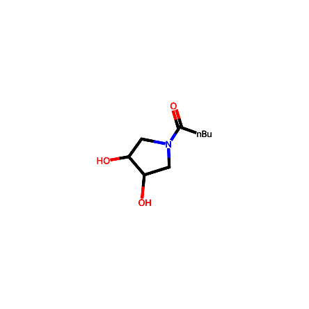 CCCCC(=O)N1CC(O)C(O)C1